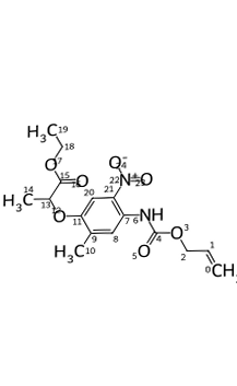 C=CCOC(=O)Nc1cc(C)c(OC(C)C(=O)OCC)cc1[N+](=O)[O-]